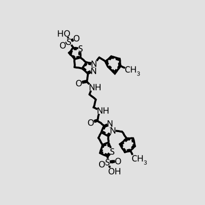 Cc1ccc(Cn2nc(C(=O)NCCCNC(=O)c3nn(Cc4ccc(C)cc4)c4c3Cc3cc(S(=O)(=O)O)sc3-4)c3c2-c2sc(S(=O)(=O)O)cc2C3)cc1